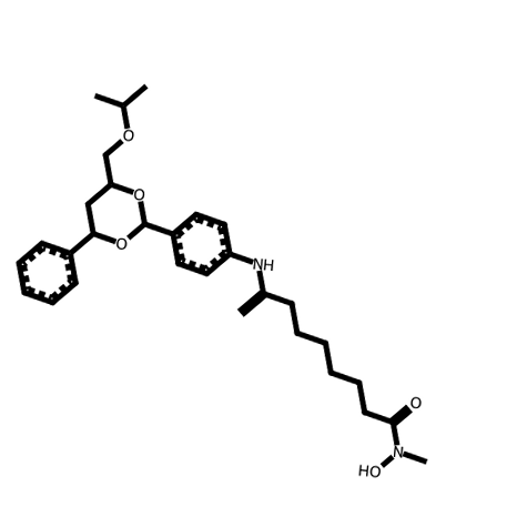 C=C(CCCCCCC(=O)N(C)O)Nc1ccc(C2OC(COC(C)C)CC(c3ccccc3)O2)cc1